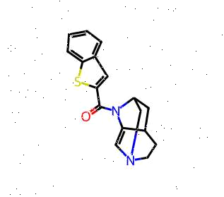 O=C(c1cc2ccccc2s1)N1C2=CN3CCC2CC1C3